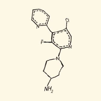 NC1CCN(c2ncc(Cl)c(-c3ccccn3)c2F)CC1